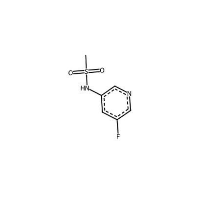 CS(=O)(=O)Nc1cncc(F)c1